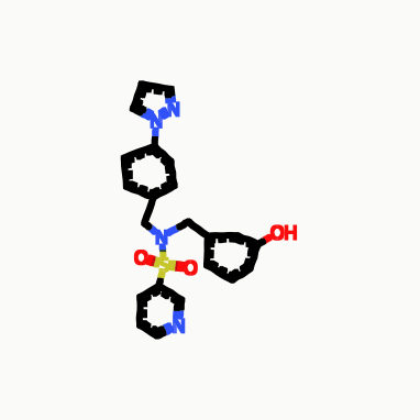 O=S(=O)(c1cccnc1)N(Cc1ccc(-n2cccn2)cc1)Cc1cccc(O)c1